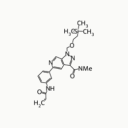 C=CC(=O)Nc1cccc(-c2cc3c(C(=O)NC)nn(COCC[Si](C)(C)C)c3cn2)c1